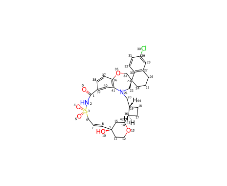 O=C1NS(=O)(=O)C/C=C/[C@@]2(O)CCO[C@@H](C2)[C@@H]2CC[C@H]2CN2C[C@@]3(CCCc4cc(Cl)ccc43)COc3ccc1cc32